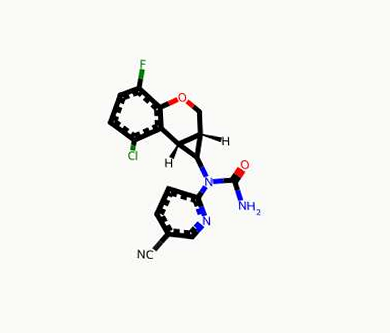 N#Cc1ccc(N(C(N)=O)C2[C@H]3COc4c(F)ccc(Cl)c4[C@@H]23)nc1